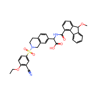 CCOc1ccc(S(=O)(=O)N2CCc3ccc(C(NC(=O)c4cccc5c4-c4ccccc4C5OC)C(=O)O)cc3C2)cc1C#N